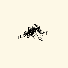 C=CC(=O)Nc1cc(Nc2nccc(-c3cc(OC(C)(C)C)c4nc(C)n(C(C)C)c4c3)n2)c(OC)cc1N(C)CCN(C)C